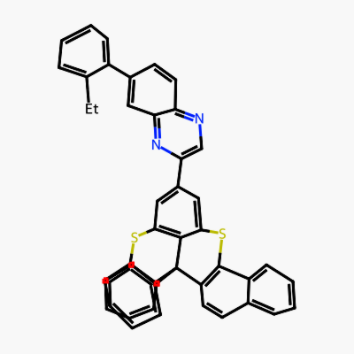 CCc1ccccc1-c1ccc2ncc(-c3cc4c5c(c3)Sc3c(ccc6ccccc36)C5(c3ccccc3)c3ccccc3S4)nc2c1